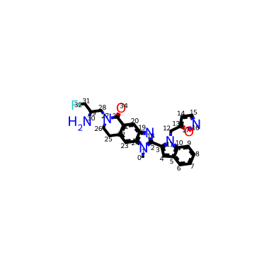 Cn1c(-c2cc3ccccc3n2Cc2ccno2)nc2cc3c(cc21)CCN(CC(N)CF)C3=O